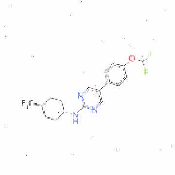 FC(F)Oc1ccc(-c2cnc(N[C@H]3CC[C@H](C(F)(F)F)CC3)nc2)cc1